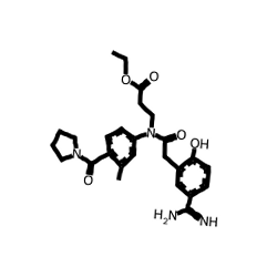 CCOC(=O)CCN(C(=O)Cc1cc(C(=N)N)ccc1O)c1ccc(C(=O)N2CCCC2)c(C)c1